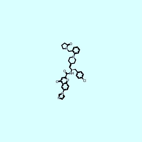 O=C(N[C@@H](C=C1CCN(c2ccccc2CN2CCCC2=O)CC1)Cc1ccc(Cl)cc1)c1cc(=O)c2cc(-n3ccnc3)ccc2o1